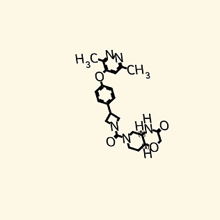 Cc1cc(Oc2ccc(C3CN(C(=O)N4CC[C@@H]5OCC(=O)N[C@@H]5C4)C3)cc2)c(C)nn1